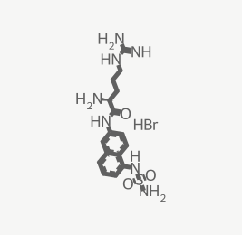 Br.N=C(N)NCCC[C@H](N)C(=O)Nc1ccc2c(NS(N)(=O)=O)cccc2c1